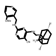 COc1ccncc1CNc1ncc(C#N)c(NC[C@]23CC4C[C@H](C2)[C@@H](N)[C@@H](C4)C3)n1